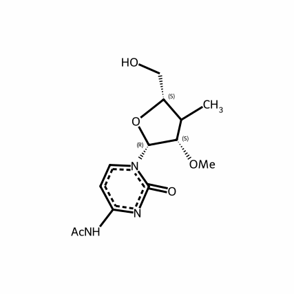 CO[C@H]1C(C)[C@@H](CO)O[C@H]1n1ccc(NC(C)=O)nc1=O